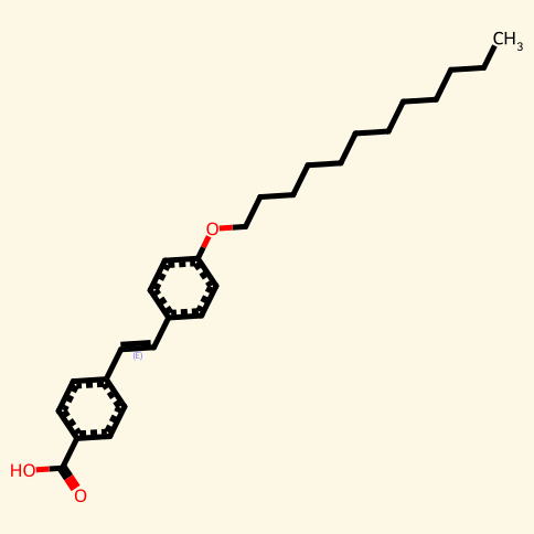 CCCCCCCCCCCCOc1ccc(/C=C/c2ccc(C(=O)O)cc2)cc1